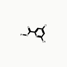 CC(C)OC(=O)c1cc(Cl)cc(C#N)n1